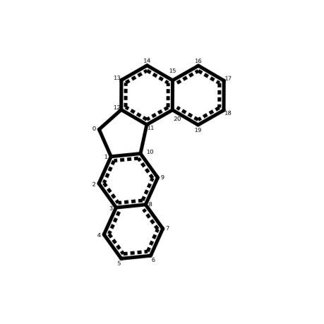 [CH]1c2cc3ccccc3cc2-c2c1ccc1ccccc21